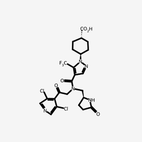 O=C1CC[C@@H](CN(CC(=O)c2c(Cl)cncc2Cl)C(=O)c2cnn([C@H]3CC[C@H](C(=O)O)CC3)c2C(F)(F)F)N1